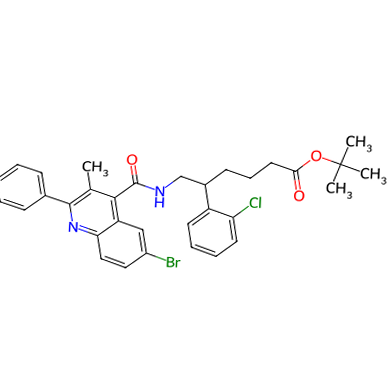 Cc1c(-c2ccccc2)nc2ccc(Br)cc2c1C(=O)NCC(CCCC(=O)OC(C)(C)C)c1ccccc1Cl